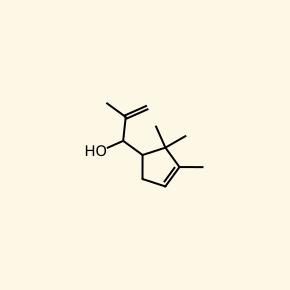 C=C(C)C(O)C1CC=C(C)C1(C)C